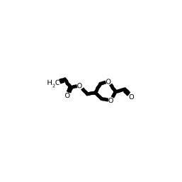 C=CC(=O)OCC1COC(C=O)OC1